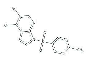 Cc1ccc(S(=O)(=O)n2ccc3c(Cl)c(Br)cnc32)cc1